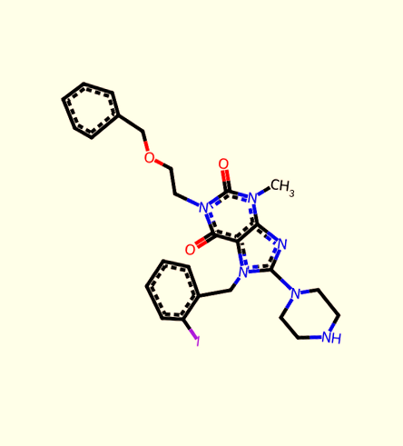 Cn1c(=O)n(CCOCc2ccccc2)c(=O)c2c1nc(N1CCNCC1)n2Cc1ccccc1I